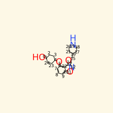 O[C@H]1CC[C@H](Oc2cccc3onc(OCC4CCNCC4)c23)CC1